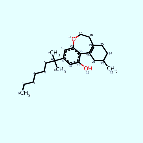 CCCCCCC(C)(C)c1cc(O)c2c(c1)OCCC1=C2CC(C)CC1